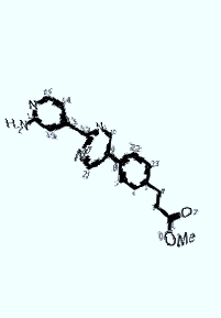 COC(=O)CCc1ccc(-c2cnc(-c3ccnc(N)c3)nc2)cc1